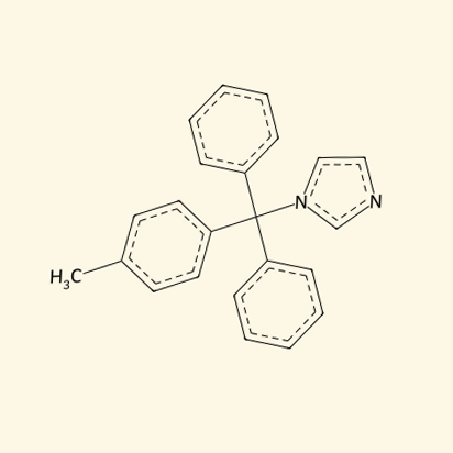 Cc1ccc(C(c2ccccc2)(c2ccccc2)n2ccnc2)cc1